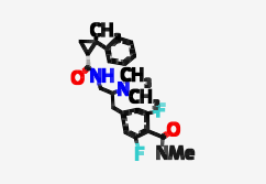 CNC(=O)c1c(F)cc(CC(CNC(=O)[C@@H]2C[C@]2(C)c2ccccc2)N(C)C)cc1F